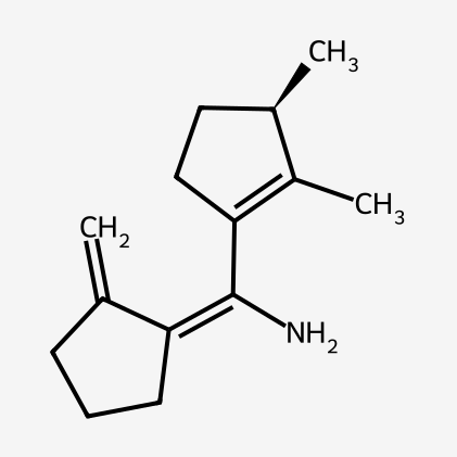 C=C1CCC/C1=C(\N)C1=C(C)[C@H](C)CC1